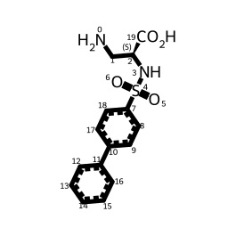 NC[C@H](NS(=O)(=O)c1ccc(-c2ccccc2)cc1)C(=O)O